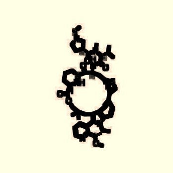 CCn1c(-c2cccnc2[C@H](C)OC)c2c3cc(ccc31)-c1csc(n1)C[C@H](NC(=O)[C@H](C(C)C)N(C)C(=O)[C@H]1CCN(SC)C1)C(=O)N1CCC[C@H](N1)C(=O)OCC(C)(C)C2